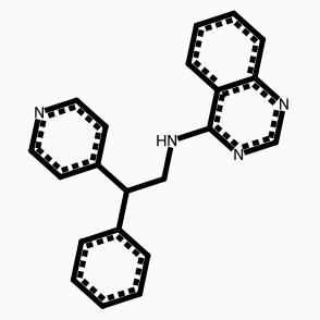 c1ccc(C(CNc2ncnc3ccccc23)c2ccncc2)cc1